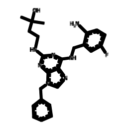 CC(C)(O)CCNc1nc(NCc2cc(F)ccc2N)c2ncn(Cc3ccccc3)c2n1